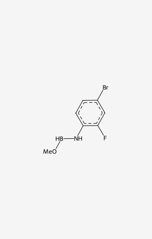 COBNc1ccc(Br)cc1F